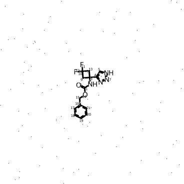 O=C(NC1(c2c[nH]nn2)CC(F)(F)C1)OCc1ccccc1